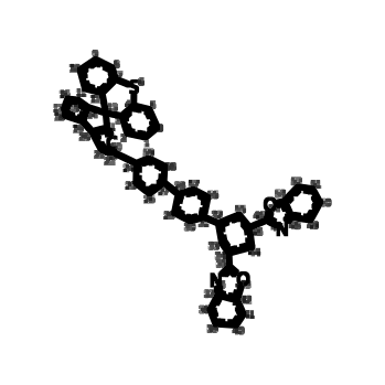 c1ccc2c(c1)Sc1ccccc1C21c2ccccc2-c2ccc(-c3ccc(-c4ccc(-c5cc(-c6nc7ccccc7o6)cc(-c6nc7ccccc7o6)c5)cc4)cc3)cc21